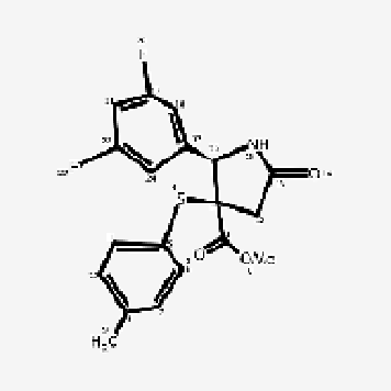 COC(=O)[C@@]1(Sc2ccc(C)cc2)CC(=O)N[C@@H]1c1cc(F)cc(F)c1